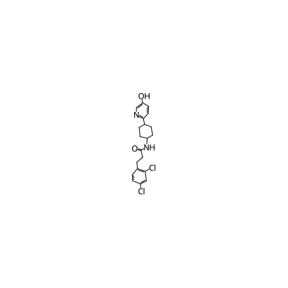 O=C(CCc1ccc(Cl)cc1Cl)NC1CCC(c2ccc(O)cn2)CC1